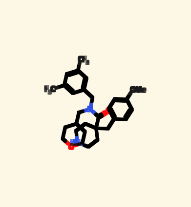 COc1ccc(CC2(C(=O)N(Cc3cc(C(F)(F)F)cc(C(F)(F)F)c3)CC3CCOCC3)CCNCC2)cc1